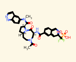 CC(=O)N1CC[C@H]2CC[C@@H](C(=O)N(C)c3ccc4nnccc4c3)N2C(=O)[C@@H](NC(=O)c2ccc3cnc(C(F)(F)P(=O)(O)O)cc3c2)C1